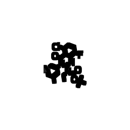 CCN(C(=O)OC(C)(C)C)c1nc2c(F)ccc(Cl)c2c(=O)n1-c1cncc(C)c1